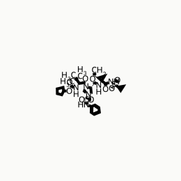 C=C[C@@H]1C[C@]1(NC(=O)[C@@H]1CN(S(=O)(=O)Nc2ccccc2)CN1C(=O)[C@@H](NC(=O)OC1CCCC1)C(C)(C)C)C(=O)NS(=O)(=O)C1CC1